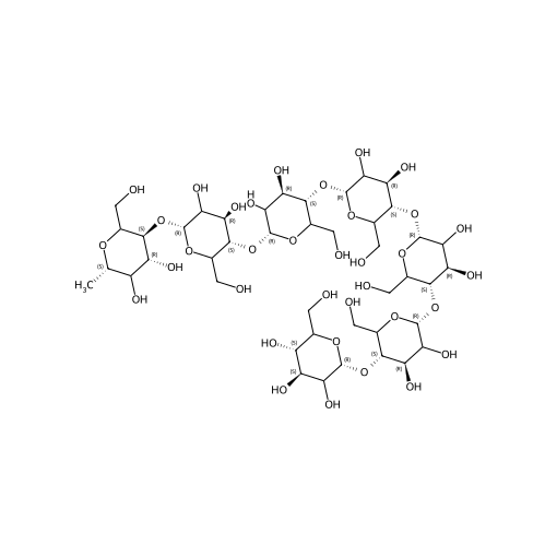 C[C@@H]1OC(CO)[C@@H](O[C@H]2OC(CO)[C@@H](O[C@H]3OC(CO)[C@@H](O[C@H]4OC(CO)[C@@H](O[C@H]5OC(CO)[C@@H](O[C@H]6OC(CO)[C@@H](O[C@H]7OC(CO)[C@@H](O)[C@H](O)C7O)[C@H](O)C6O)[C@H](O)C5O)[C@H](O)C4O)[C@H](O)C3O)[C@H](O)C2O)[C@H](O)C1O